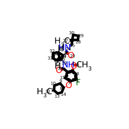 COc1cc(F)c(O[C@H]2CC[C@H](C)CC2)cc1C(=O)N[C@H]1[C@@H](C(=O)NCC2(C)CCC2)[C@@H]2C=C[C@H]1C2